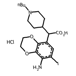 CCCCN1CCC(C(C(=O)O)c2cc(I)c(N)c3c2OCCO3)CC1.Cl